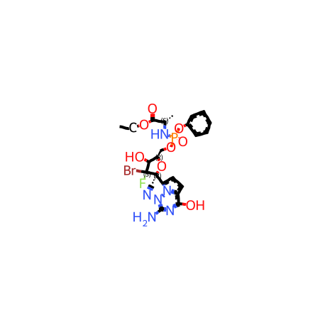 CCCOC(=O)[C@H](C)NP(=O)(OC[C@H]1O[C@@](C#N)(c2ccc3c(O)nc(N)nn23)[C@@](F)(Br)C1O)Oc1ccccc1